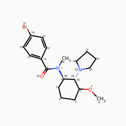 COC1CCC[C@@H](N(C)C(=O)c2ccc(Br)cc2)[C@@H]1N1CCCC1